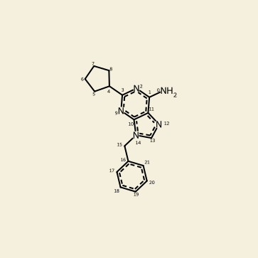 Nc1nc(C2CCCC2)nc2c1ncn2Cc1ccccc1